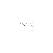 CC(C)(O)c1coc(Cn2ncc(C(N)=O)n2)n1